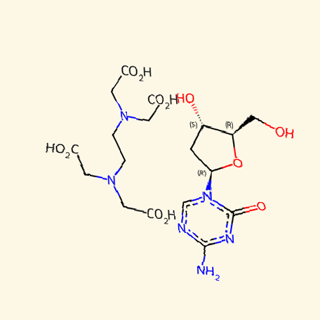 Nc1ncn([C@H]2C[C@H](O)[C@@H](CO)O2)c(=O)n1.O=C(O)CN(CCN(CC(=O)O)CC(=O)O)CC(=O)O